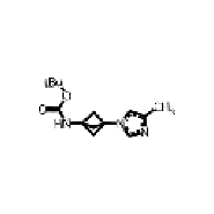 Cc1cn(C23CC(NC(=O)OC(C)(C)C)(C2)C3)cn1